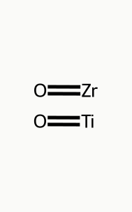 [O]=[Ti].[O]=[Zr]